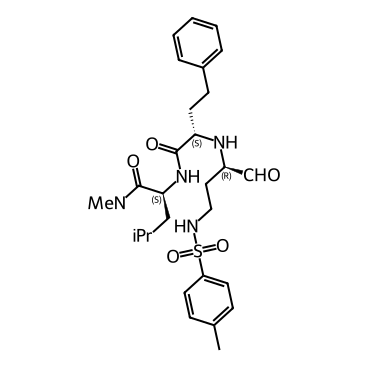 CNC(=O)[C@H](CC(C)C)NC(=O)[C@H](CCc1ccccc1)N[C@@H](C=O)CCNS(=O)(=O)c1ccc(C)cc1